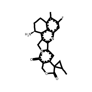 Cc1c(F)cc2nc3c(c4c2c1CC[C@@H]4N)Cn1c-3cc2c(c1=O)COC(=O)C21CC1C